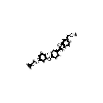 OCc1ccc2nc(C3CCC(Oc4cccc(OCC5CC5)c4)CC3)oc2c1